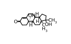 CC1(O)CC[C@H]2[C@@H]3CCC4=CC(=O)CC[C@]4(CO)[C@H]3CC[C@@]21C